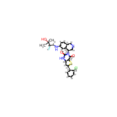 CC(C)(O)[C@H](F)CNc1ccc2cncc(-n3c(=O)[nH]c4cc(-c5ccccc5Cl)sc4c3=O)c2c1